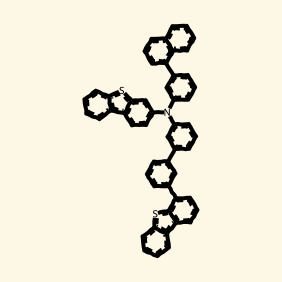 c1cc(-c2cccc(N(c3cccc(-c4cccc5ccccc45)c3)c3ccc4c(c3)sc3ccccc34)c2)cc(-c2cccc3c2sc2ccccc23)c1